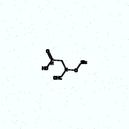 CC(C)(C)ON(C=O)C[PH](=O)O